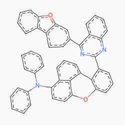 c1ccc(N(c2ccccc2)c2ccc3c4c(cccc24)-c2c(cccc2-c2nc(-c4ccc5c(c4)oc4ccccc45)c4ccccc4n2)O3)cc1